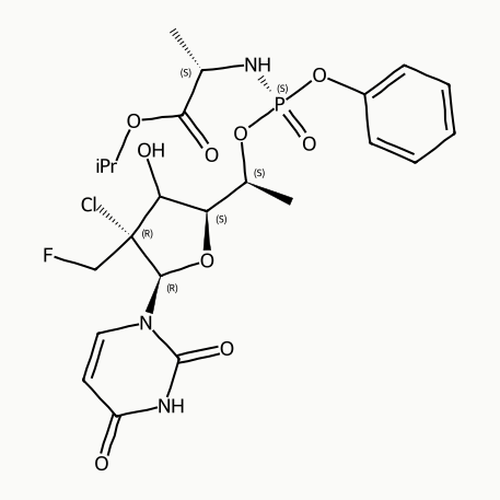 CC(C)OC(=O)[C@H](C)N[P@@](=O)(Oc1ccccc1)O[C@@H](C)[C@H]1O[C@@H](n2ccc(=O)[nH]c2=O)[C@@](Cl)(CF)C1O